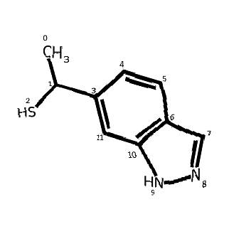 CC(S)c1ccc2cn[nH]c2c1